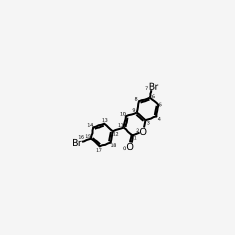 O=c1oc2ccc(Br)cc2cc1-c1ccc(Br)cc1